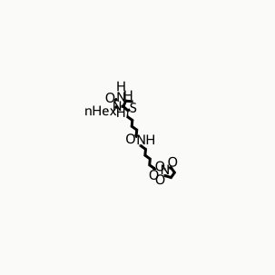 CCCCCCN1C(=O)N[C@H]2CS[C@@H](CCCCC(=O)NCCCCCC(=O)ON3C(=O)CCC3=O)[C@H]21